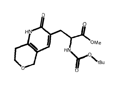 COC(=O)C(Cc1cc2c([nH]c1=O)CCOC2)NC(=O)OC(C)(C)C